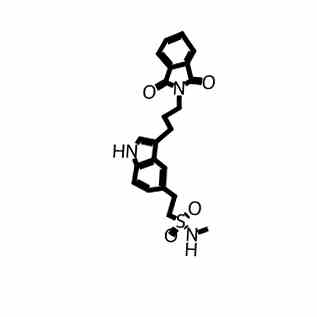 CNS(=O)(=O)CCc1ccc2[nH]cc(CCCN3C(=O)c4ccccc4C3=O)c2c1